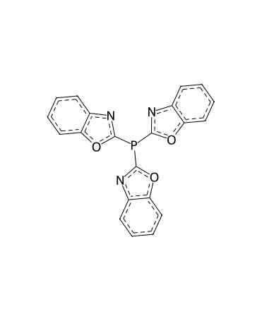 c1ccc2oc(P(c3nc4ccccc4o3)c3nc4ccccc4o3)nc2c1